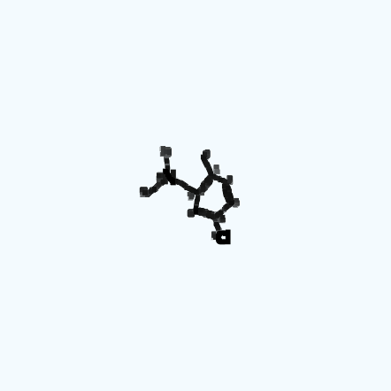 Cc1ccc(Cl)cc1N(C)C